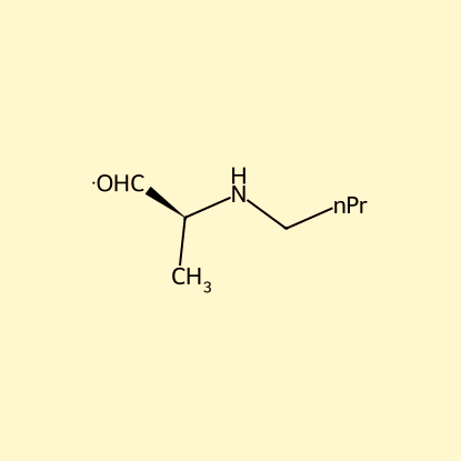 CCCCN[C@@H](C)[C]=O